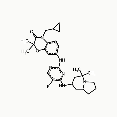 CC1(C)Oc2cc(Nc3ncc(F)c(NC4CC5CCCN5C(C)(C)C4)n3)ccc2N(CC2CC2)C1=O